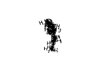 COc1cc(-n2c(C(C)(C)c3ccc(S(N)(=O)=O)c(Cl)c3)cnc2SCc2c(F)cc(N[C@H](CCCNC(=N)N)C(=O)O)cc2Cl)ccc1F